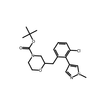 Cn1cc(-c2c(Cl)cccc2CC2CN(C(=O)OC(C)(C)C)CCO2)cn1